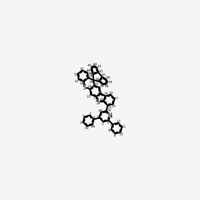 c1ccc(-c2cc(-c3ccccc3)nc(-c3cccc4c3sc3cc5c(cc34)C3(c4ccccc4S5)c4ccccc4-c4ccccc43)c2)cc1